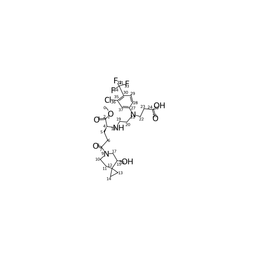 COC(=O)[C@H](CCC(=O)N1CCC2(CC2)[C@H](O)C1)NCCN(CCC(=O)O)c1ccc(C(F)(F)F)c(Cl)c1